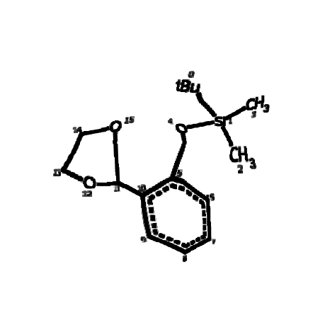 CC(C)(C)[Si](C)(C)Oc1[c]cccc1C1OCCO1